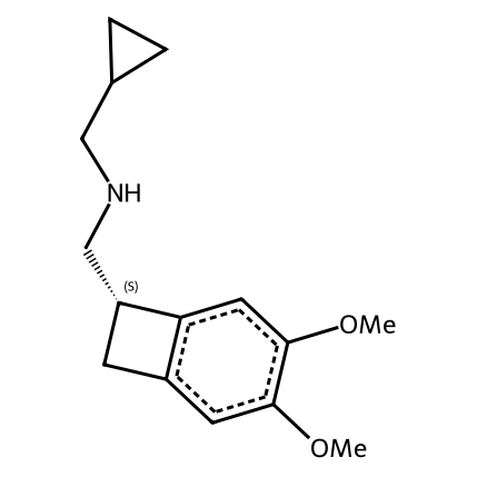 COc1cc2c(cc1OC)[C@@H](CNCC1CC1)C2